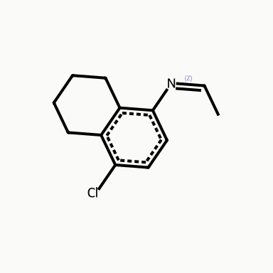 C/C=N\c1ccc(Cl)c2c1CCCC2